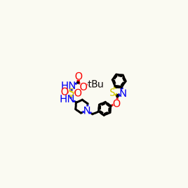 CC(C)(C)OC(=O)NS(=O)(=O)NC1CCN(Cc2ccc(Oc3nc4ccccc4s3)cc2)CC1